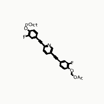 CCCCCCCCOc1ccc(C#Cc2ccc(C#Cc3ccc(OCOC(C)=O)c(F)c3)cn2)cc1F